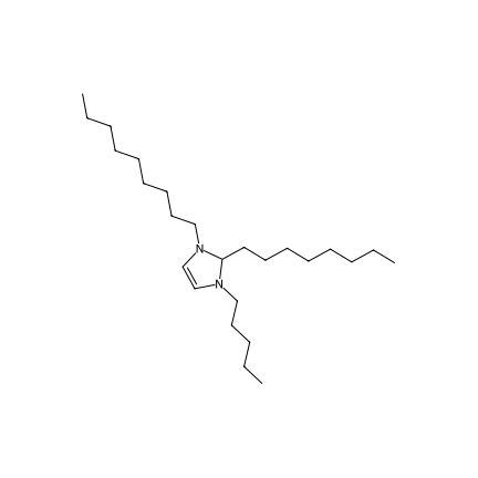 CCCCCCCCCN1C=CN(CCCCC)C1CCCCCCCC